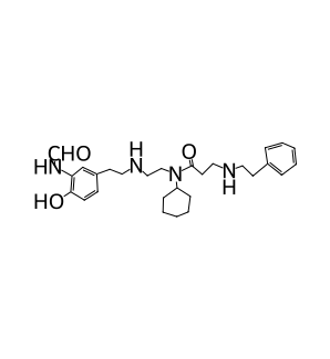 O=CNc1cc(CCNCCN(C(=O)CCNCCc2ccccc2)C2CCCCC2)ccc1O